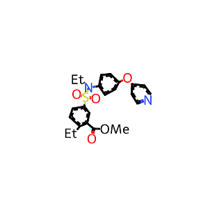 CCc1ccc(S(=O)(=O)N(CC)c2ccc(Oc3ccncc3)cc2)cc1C(=O)OC